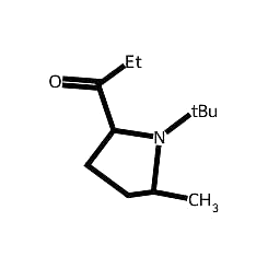 CCC(=O)C1CCC(C)N1C(C)(C)C